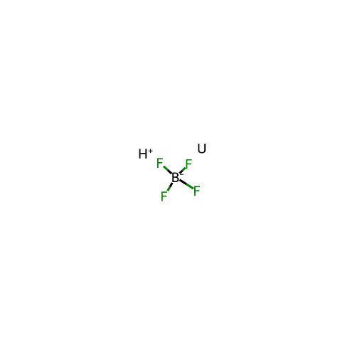 F[B-](F)(F)F.[H+].[U]